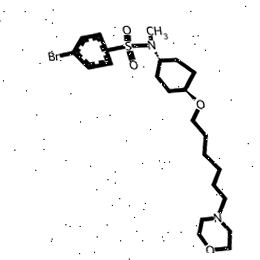 CN([C@H]1CC[C@H](OCCCCCCN2CCOCC2)CC1)S(=O)(=O)c1ccc(Br)cc1